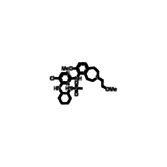 COCCN1CCc2ccc(OC)c(Nc3ncc(Cl)c(NC4CCCCC4NS(C)(=O)=O)n3)c2CC1